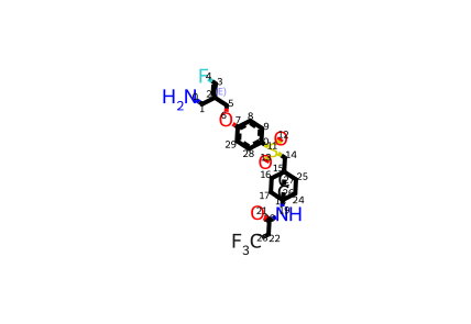 NC/C(=C\F)COc1ccc(S(=O)(=O)CC23CCC(NC(=O)CC(F)(F)F)(CC2)CC3)cc1